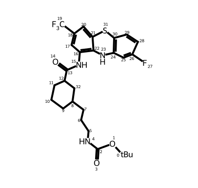 CC(C)(C)OC(=O)NCCCC1CCCC(C(=O)Nc2cc(C(F)(F)F)cc3c2Nc2cc(F)ccc2S3)C1